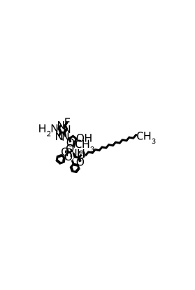 CCCCCCCCCCCCCCCCCOC(=O)[C@H](Cc1ccccc1)NP(=O)(OC[C@@]1(C)O[C@@H](n2cnc3c(N)nc(F)nc32)C[C@@H]1O)Oc1ccccc1